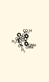 C=CC(=O)OCC(C)(C)C(=O)C(=O)N1CCCC[C@H]1C(=O)O[C@H](CCc1ccc(OC)c(OC)c1)c1cc(OCC(=O)O)ccc1F